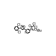 CCC(C)OCN(C(=O)C(Cl)Cl)c1ccnc(-c2cc(-c3c(Cl)cccc3Cl)no2)c1